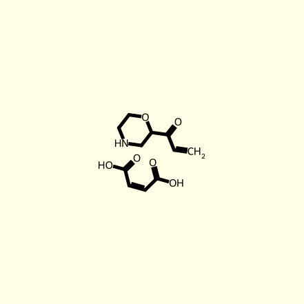 C=CC(=O)C1CNCCO1.O=C(O)/C=C\C(=O)O